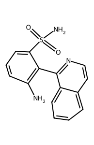 Nc1cccc(S(N)(=O)=O)c1-c1nccc2ccccc12